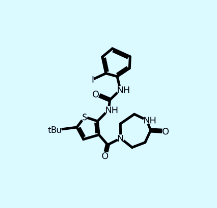 CC(C)(C)c1cc(C(=O)N2CCNC(=O)CC2)c(NC(=O)Nc2ccccc2I)s1